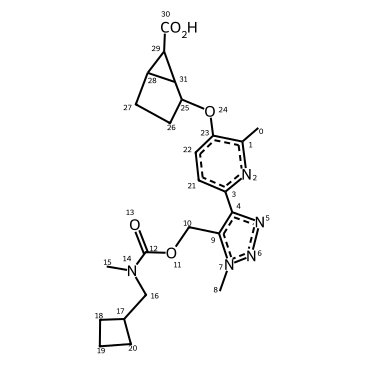 Cc1nc(-c2nnn(C)c2COC(=O)N(C)CC2CCC2)ccc1OC1CCC2C(C(=O)O)C12